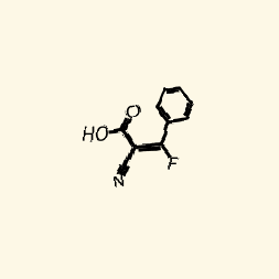 N#CC(C(=O)O)=C(F)c1ccccc1